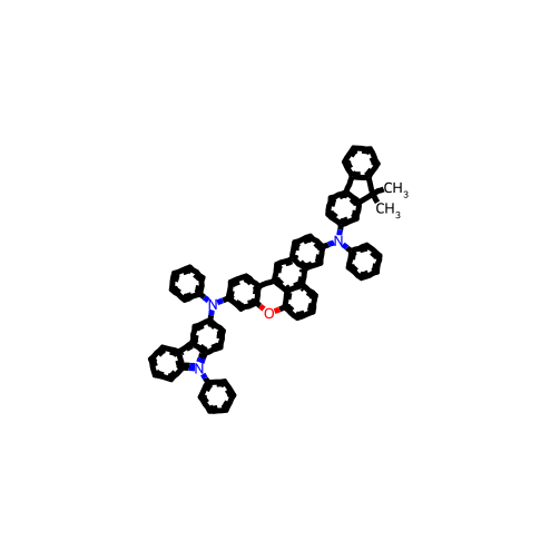 CC1(C)c2ccccc2-c2ccc(N(c3ccccc3)c3ccc4cc5c6c(cccc6c4c3)Oc3cc(N(c4ccccc4)c4ccc6c(c4)c4ccccc4n6-c4ccccc4)ccc3-5)cc21